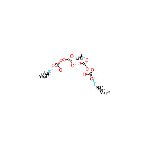 O=[Si]([O-])[O-].O=[Si]([O-])[O-].O=[Si]([O-])[O-].O=[Si]([O-])[O-].[F-].[F-].[F-].[F-].[Li+].[Li+].[Li+].[Mg+2].[Mg+2].[Mg+2].[Na+].[Na+].[Na+]